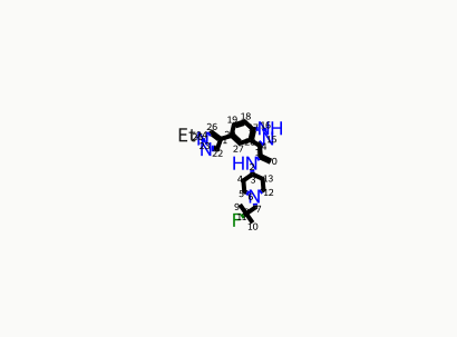 C=C(NC1CCN(CC(C)(C)F)CC1)c1n[nH]c2ccc(-c3cnn(CC)c3)cc12